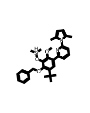 COc1c(-c2cccc(-n3c(C)ccc3C)n2)cc(C(C)(C)C)c(OCc2ccccc2)c1O[SiH](C)C